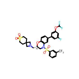 O=S1(=O)CCC2(CC1)CN(C[C@H]1CN(S(=O)(=O)c3cccc(C(F)(F)F)c3)c3cc(-c4cc(F)cc(OC(F)F)c4)ccc3O1)C2